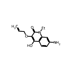 C=CCOc1c(O)c2ccc(N)cc2n(CC)c1=O